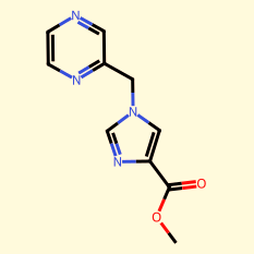 COC(=O)c1cn(Cc2cnccn2)cn1